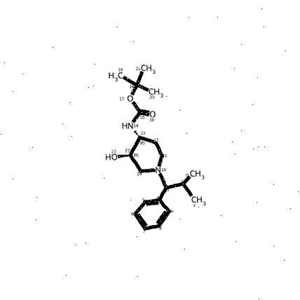 CC(C)C(c1ccccc1)N1CC[C@@H](NC(=O)OC(C)(C)C)[C@H](O)C1